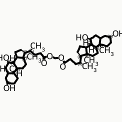 C[C@H](CCC(=O)OCOC(=O)CC[C@H](C)[C@@H]1CCC2[C@@H]3[C@H](O)CC4C[C@H](O)CC[C@]4(C)[C@H]3CC[C@@]21C)[C@H]1CCC2[C@@H]3[C@@H](O)CC4C[C@H](O)CC[C@]4(C)[C@H]3CC[C@@]21C